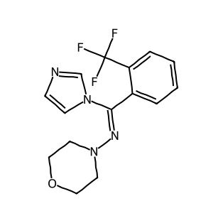 FC(F)(F)c1ccccc1C(=NN1CCOCC1)n1ccnc1